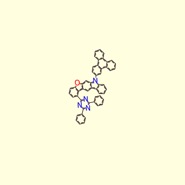 c1ccc(-c2nc(-c3ccccc3)nc(-c3cccc4oc5cc6c(cc5c34)c3ccccc3n6-c3ccc4c5ccccc5c5ccccc5c4c3)n2)cc1